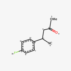 [C-]#[N+]C(CC(=O)OC)c1ccc(F)cc1